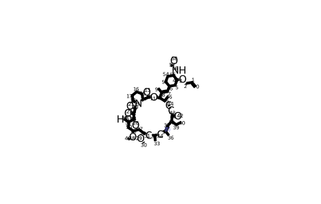 C=CCOC1CC(C=C(C)C2OC(=O)C3CCCCN3C(=O)C(=O)C3(O)OC(C(OC)CC(C)C/C(C)=C/C(CC)C(=O)CCC2C)C(OC)CC3C)CCC1NC=O